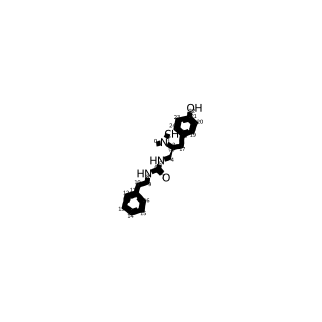 CN(C=O)[C@H](CNC(=O)NCCc1ccccc1)Cc1ccc(O)cc1